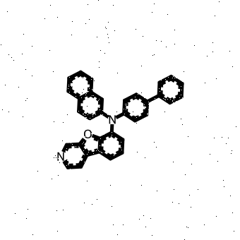 c1ccc(-c2ccc(N(c3ccc4ccccc4c3)c3cccc4c3oc3cnccc34)cc2)cc1